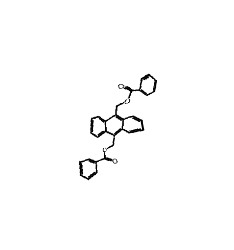 O=C(OCc1c2ccccc2c(COC(=O)c2ccccc2)c2ccccc12)c1ccccc1